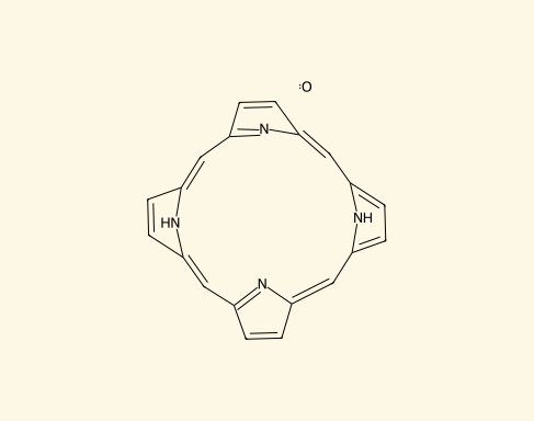 C1=Cc2cc3ccc(cc4nc(cc5ccc(cc1n2)[nH]5)C=C4)[nH]3.[O]